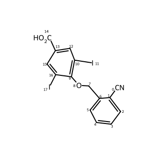 N#Cc1ccccc1COc1c(I)cc(C(=O)O)cc1I